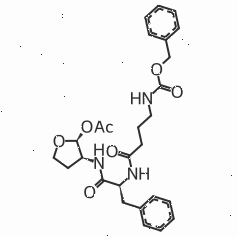 CC(=O)O[C@@H]1OCC[C@@H]1NC(=O)[C@H](Cc1ccccc1)NC(=O)CCCNC(=O)OCc1ccccc1